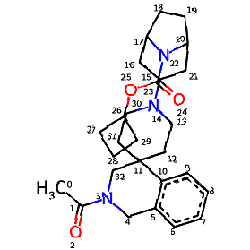 CC(=O)N1Cc2ccccc2C2(CCN(C3CC4CCC(C3)N4C(=O)OC3CCC3)CC2)C1